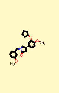 COc1cccc(CN2C[C@@H](c3ccc(OC)c(OC4CCCC4)c3)CC2=O)c1